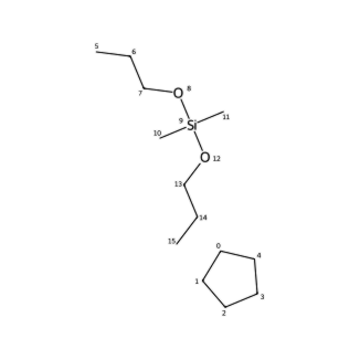 C1CCCC1.CCCO[Si](C)(C)OCCC